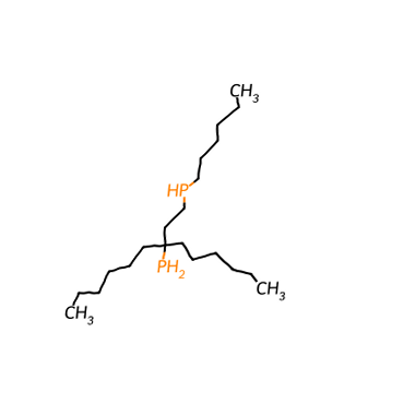 CCCCCCPCCC(P)(CCCCCC)CCCCCC